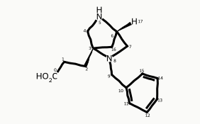 O=C(O)CC[C@]12CN[C@H](CN1Cc1ccccc1)C2